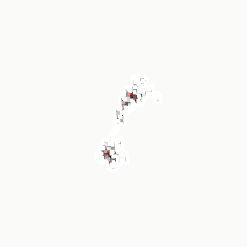 Nc1ncnc2c1c(-c1ccc(Oc3ccccc3)cc1)nn2C1CCCN(C(=O)CCCN2CCN(CCCCCCCCCCNc3cccc4c3C(=O)N(C3CCC(=O)NC3=O)C4=O)CC2)C1